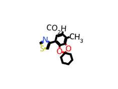 Cc1c(C(=O)O)cc(-c2cscn2)c2c1OC1(CCCCC1)O2